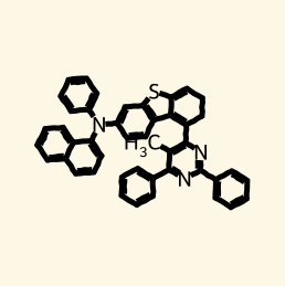 Cc1c(C2=c3c(sc4cc(N(c5ccccc5)c5cccc6ccccc56)ccc34)=CCC2)nc(-c2ccccc2)nc1-c1ccccc1